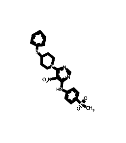 CS(=O)(=O)c1ccc(Nc2ncnc(N3CCC(Sc4ccccc4)CC3)c2[N+](=O)[O-])cc1